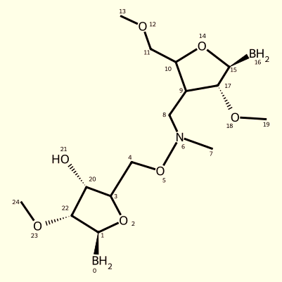 B[C@@H]1OC(CON(C)CC2C(COC)O[C@@H](B)[C@@H]2OC)[C@@H](O)[C@H]1OC